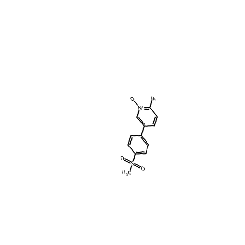 CS(=O)(=O)c1ccc(-c2ccc(Br)[n+]([O-])c2)cc1